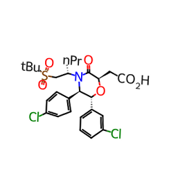 CCC[C@@H](CS(=O)(=O)C(C)(C)C)N1C(=O)[C@@H](CC(=O)O)O[C@H](c2cccc(Cl)c2)[C@H]1c1ccc(Cl)cc1